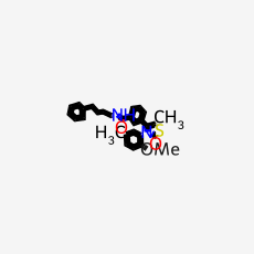 COc1ccc(C)cc1-n1c(-c2cccc(C(=O)NCCCCc3ccccc3)c2)c(C)sc1=O